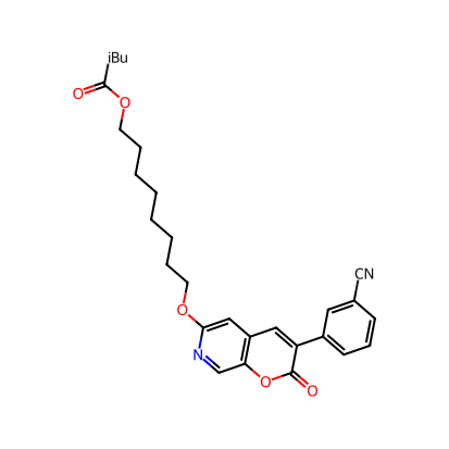 CCC(C)C(=O)OCCCCCCCCOc1cc2cc(-c3cccc(C#N)c3)c(=O)oc2cn1